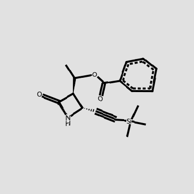 CC(OC(=O)c1ccccc1)[C@@H]1C(=O)N[C@H]1C#C[Si](C)(C)C